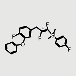 C[Si](C)(/C(F)=C(\F)Cc1ccc(F)c(Oc2ccccc2)c1)c1ccc(F)cc1